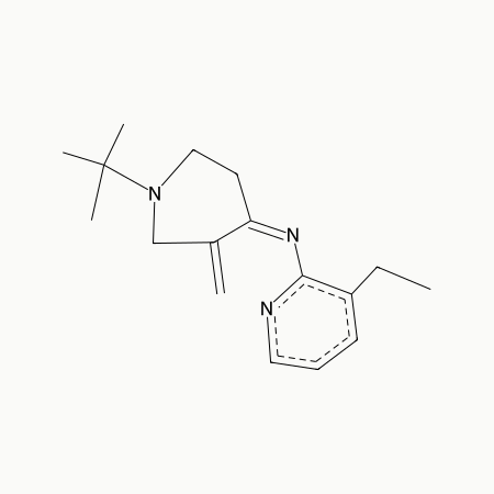 C=C1CN(C(C)(C)C)CC/C1=N/c1ncccc1CC